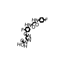 O=C(O)Nc1cc(Oc2ccc(NC(=O)CC(=O)Nc3ccc(F)cc3)cc2F)ncn1